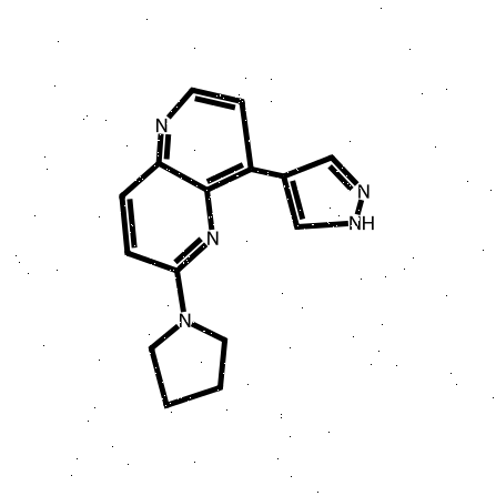 c1cc(-c2cn[nH]c2)c2nc(N3CCCC3)ccc2n1